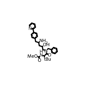 COC(=O)NC(C(=O)N(Cc1ccccc1)CC(O)CC(N)Cc1ccc(-c2ccccn2)cc1)C(C)(C)C